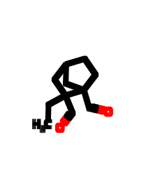 CCC1(C=O)CC2CCC1(C=O)C2